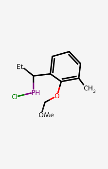 CCC(PCl)c1cccc(C)c1OCOC